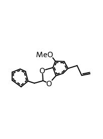 C=CCc1cc(OC)c2c(c1)OC(Cc1ccccc1)O2